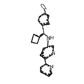 Clc1ccc(C(Nc2ccc(-c3ccccn3)nc2)=C2CCC2)cc1